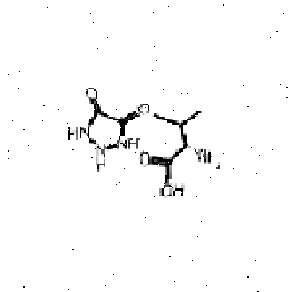 CC(C)[C@H](N)C(=O)O.O=c1[nH][nH][nH]c1=O